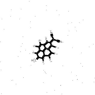 C=c1c(F)c2c(F)c(F)c3c(F)c(=C(C#N)C#N)c(F)c4c(F)c(F)c(c1F)c2c34